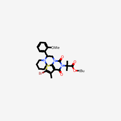 COc1ccccc1C(Cn1c(=O)n(C(C)(C)C(=O)OC(C)(C)C)c(=O)c2c(C)c(Br)sc21)N1CCCCC1